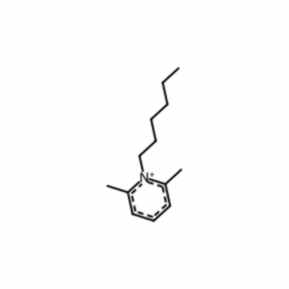 CCCCCC[n+]1c(C)cccc1C